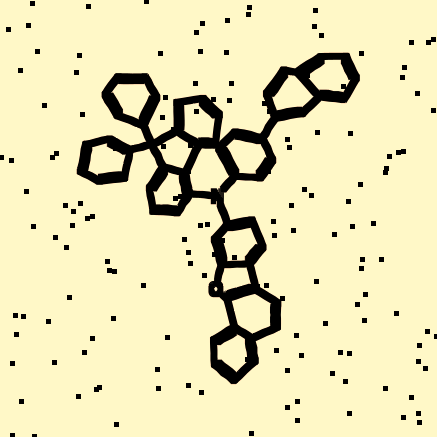 c1ccc(C2(c3ccccc3)c3ccccc3-c3c(N(c4ccc(-c5ccc6ccccc6c5)cc4)c4ccc5c(c4)oc4c6ccccc6ccc54)cccc32)cc1